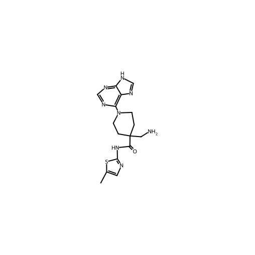 Cc1cnc(NC(=O)C2(CN)CCN(c3ncnc4[nH]cnc34)CC2)s1